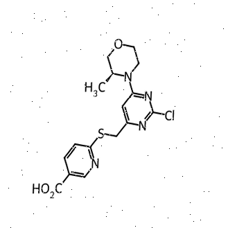 C[C@H]1COCCN1c1cc(CSc2ccc(C(=O)O)cn2)nc(Cl)n1